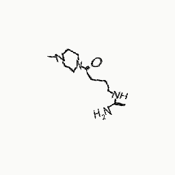 C=C(N)NCCCC(=O)N1CCN(C)CC1